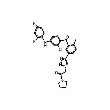 Cc1ccc(-c2cn(CC(=O)N3CCCC3)nn2)cc1C(=O)c1ccc(Nc2ccc(F)cc2F)cc1Cl